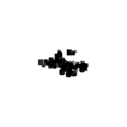 CO/N=C(\C(=O)N[C@@H]1C(=O)N2C(C(=O)[O-])=C(/C=C/C3CCCO3)CS[C@@H]12)c1nsc(N)n1.[Na+]